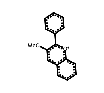 COc1cc2ccccc2[o+]c1-c1ccccc1